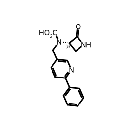 O=C1NC[C@@H]1N(Cc1ccc(-c2ccccc2)nc1)C(=O)O